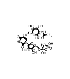 O=C(N[C@H]1C(O)O[C@H](CO)[C@@H](O)[C@@H]1O)C(F)(F)F.O=c1ccn([C@@H]2O[C@H](COP(=O)(O)OP(=O)(O)O)[C@@H](O)[C@H]2O)c(=O)[nH]1